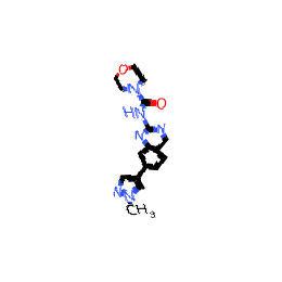 Cn1cc(-c2ccc3cnc(NC(=O)N4CCOCC4)nc3c2)cn1